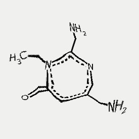 Cn1c(N)nc(N)cc1=O